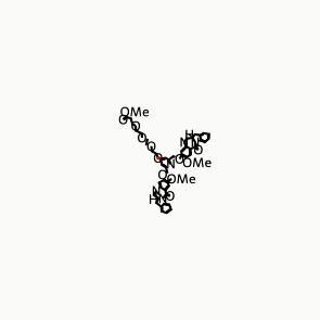 COC(=O)CCOCCOCCOCCOc1cc(COc2cc3c(cc2OC)C(=O)N2c4ccccc4C[C@H]2C=N3)nc(COc2cc3c(cc2OC)C(=O)N2c4ccccc4C[C@H]2C=N3)c1